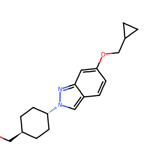 OC[C@H]1CC[C@H](n2cc3ccc(OCC4CC4)cc3n2)CC1